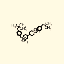 CC(C)Cc1ccc(C[N+]2(C)CCC(C3CC[N+](C)(Cc4ccc(CC(C)(C)C)cc4)CC3)CC2)cc1